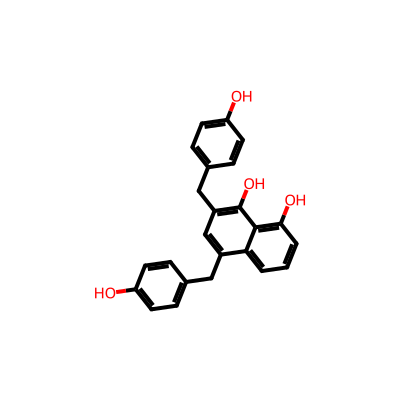 Oc1ccc(Cc2cc(Cc3ccc(O)cc3)c3cccc(O)c3c2O)cc1